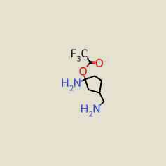 NCC1CCC(N)(OC(=O)C(F)(F)F)C1